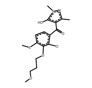 COCCCOc1c(SC)ccc(C(=O)c2c(C)nn(C)c2O)c1Cl